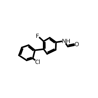 O=CNc1ccc(-c2ccccc2Cl)c(F)c1